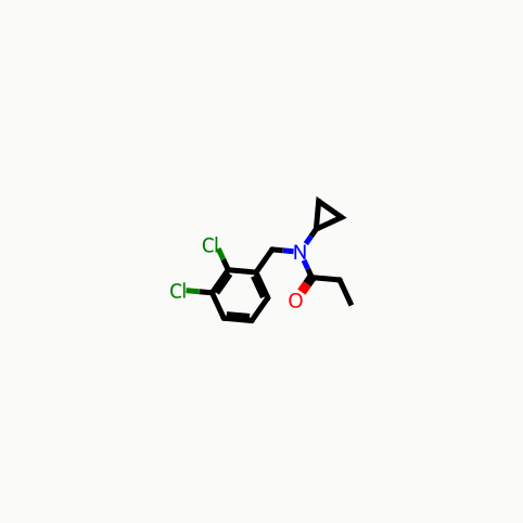 CCC(=O)N(Cc1cccc(Cl)c1Cl)C1CC1